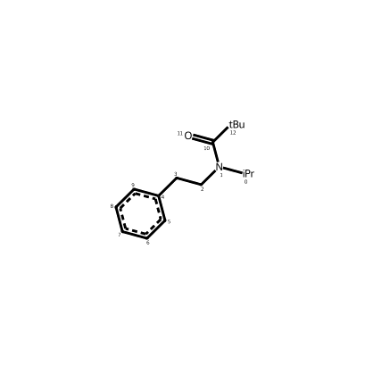 CC(C)N(CCc1ccccc1)C(=O)C(C)(C)C